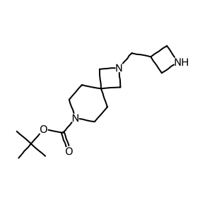 CC(C)(C)OC(=O)N1CCC2(CC1)CN(CC1CNC1)C2